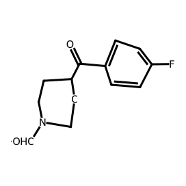 O=[C]N1CCC(C(=O)c2ccc(F)cc2)CC1